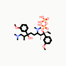 CC[C@](OP(=O)(O)OP(=O)(O)O)(c1cccc(OC)c1)[C@H](C)C(CCC(O)(c1cccc(OC)c1)C(C)CN(C)C)N(C)C